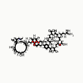 C/C(=C/c1csc(C)n1)[C@@H]1C[C@H]2[C@@H](CCC[C@H](C)[C@H](O)[C@@H](C)C(=O)C(C)(C)[C@@H](O)CC(=O)O1)N2CCOC(=O)OCCSSC[C@H](NC(=O)C[C@H](NC(=O)[C@H](CCCNC(=N)N)NC(=O)[C@H](CC(=O)O)NC(=O)CC[C@H](NC(=O)c1ccc(NCc2cnc3nc(N)[nH]c(=O)c3n2)cc1)C(=O)O)C(=O)O)C(=O)O